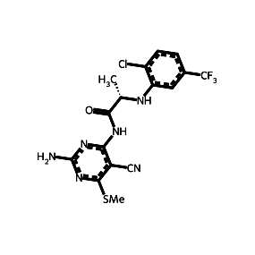 CSc1nc(N)nc(NC(=O)[C@H](C)Nc2cc(C(F)(F)F)ccc2Cl)c1C#N